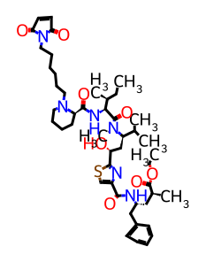 CCOC(=O)[C@@H](C)C[C@H](Cc1ccccc1)NC(=O)c1csc([C@H](O)C[C@H](C(C)C)N(C)C(=O)[C@@H](NC(=O)[C@H]2CCCCN2CCCCCCN2C(=O)C=CC2=O)[C@@H](C)CC)n1